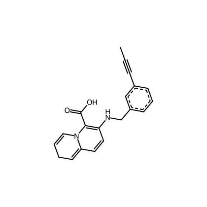 CC#Cc1cccc(CNC2=C(C(=O)O)N3C=CCC=C3C=C2)c1